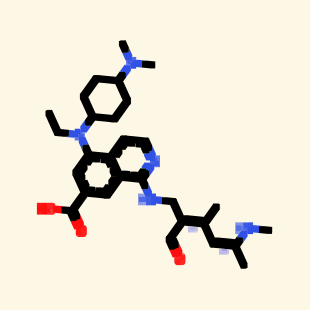 CCN(c1cc(C(=O)O)cc2c(NC/C(C=O)=C(C)/C=C(/C)NC)nccc12)C1CCC(N(C)C)CC1